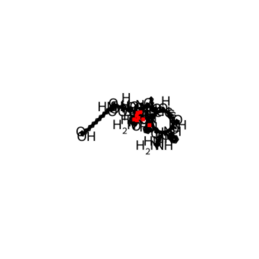 CCCC[C@H](NC(=O)[C@H](CN)NC(=O)[C@H](Cc1c[nH]cn1)NC(=O)[C@H](CCC(N)=O)NC(=O)[C@H](CO)NC(=O)CNC(=O)CCCS(=O)(=O)NC(=O)CCCCCCCCCCCCCCC(=O)O)C(=O)N[C@H]1CCC(=O)NCCCC[C@@H](C(C)=O)NC(=O)[C@H](Cc2c[nH]c3ccccc23)NC(=O)[C@H](CCCNC(=N)N)NC(=O)[C@@H](Cc2ccccc2)NC(=O)[C@@H]2C[C@@H](O)CN2C1=O